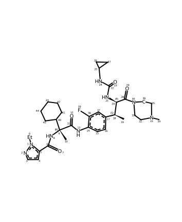 CCn1nccc1C(=O)N[C@@](C)(C(=O)Nc1ccc([C@H](C)[C@@H](NC(=O)NC2CC2)C(=O)N2CCN(C)CC2)cc1F)C1CCCCC1